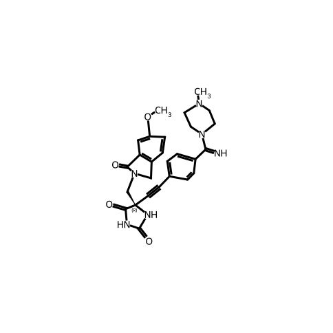 COc1ccc2c(c1)C(=O)N(C[C@@]1(C#Cc3ccc(C(=N)N4CCN(C)CC4)cc3)NC(=O)NC1=O)C2